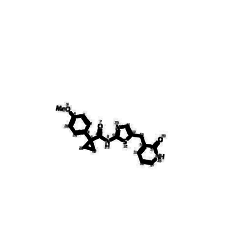 COc1ccc(C2(C(=O)Nc3ncc(Cc4ccc[nH]c4=O)s3)CC2)cc1